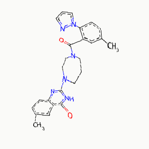 Cc1ccc(-n2cccn2)c(C(=O)N2CCCN(c3nc4ccc(C)cc4c(=O)[nH]3)CC2)c1